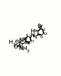 CC(N)(Cc1ccc(NCc2cccc(Br)c2)cc1)C(N)=O